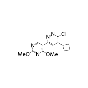 COc1ncc(-c2cc(C3CCC3)c(Cl)nn2)c(OC)n1